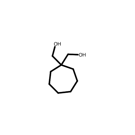 OCC1(CO)CCCCCC1